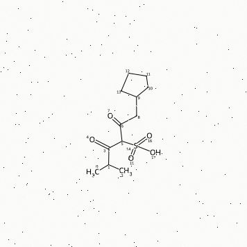 CC(C)C(=O)C(C(=O)CC1CCCC1)S(=O)(=O)O